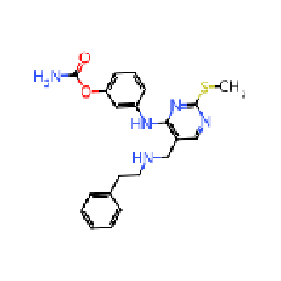 CSc1ncc(CNCCc2ccccc2)c(Nc2cccc(OC(N)=O)c2)n1